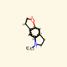 CCN1CCc2cc3c(cc21)CCO3